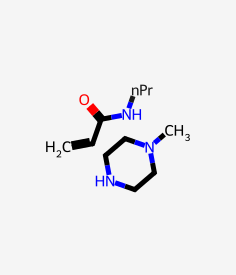 C=CC(=O)NCCC.CN1CCNCC1